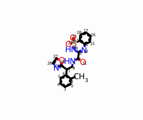 Cc1ccccc1C(CNC(=O)C1=Nc2ccccc2S(=O)(=O)N1)c1ncco1